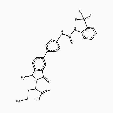 CCCC(C(=O)O)N1C(=O)c2cc(-c3ccc(NC(=S)Nc4ccccc4C(F)(F)F)cc3)ccc2[C@@H]1C